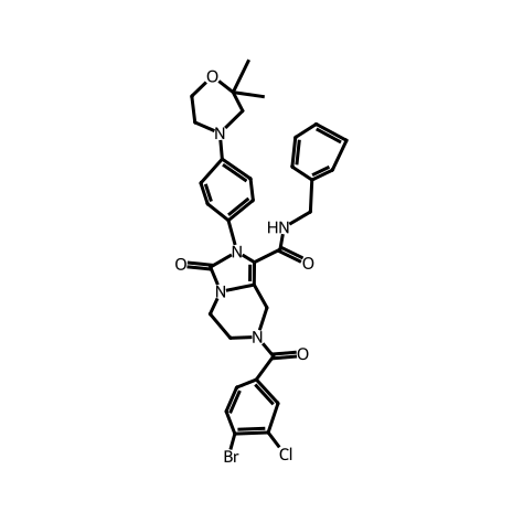 CC1(C)CN(c2ccc(-n3c(C(=O)NCc4ccccc4)c4n(c3=O)CCN(C(=O)c3ccc(Br)c(Cl)c3)C4)cc2)CCO1